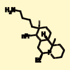 CCCC1C2C[C@H](CC)P3CCCCC3(C)[C@H]2CCC1(C)CCCCN